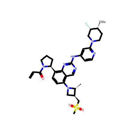 C=CC(=O)N1CCC[C@H]1c1ccc(N2C[C@H](CS(C)(=O)=O)[C@H]2C)c2cnc(Nc3ccnc(N4CC[C@@H](OC)[C@@H](F)C4)c3)nc12